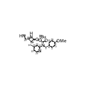 COc1ccc(CN(C(=O)OC(C)(C)C)c2cc(C[C@H]3C(=O)N[C@@H]3C=N)ccn2)cc1